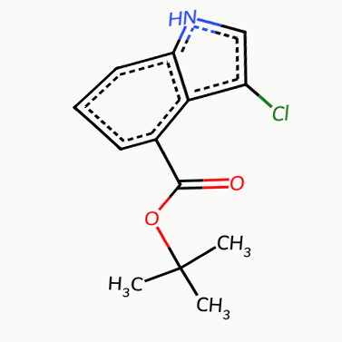 CC(C)(C)OC(=O)c1cccc2[nH]cc(Cl)c12